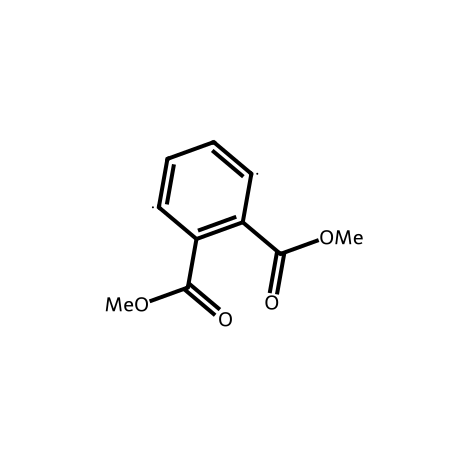 COC(=O)c1[c]cc[c]c1C(=O)OC